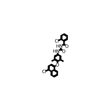 Cc1cc(NC(=O)NC(=O)c2ccccc2Cl)cc(C)c1Oc1ccc(Cl)c2ccccc12